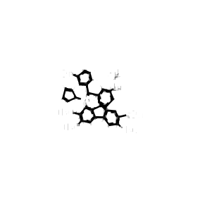 CC(C)(C)c1cc2c(cc1C(C)(C)C)-c1cc(C(C)(C)C)c(C(C)(C)C)[c]([Zr+2](=[C](c3cccc(Br)c3)c3cccc(Br)c3)[CH]3C=CC=C3)c1C2.[Cl-].[Cl-]